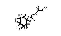 O=C(CCl)OCC(=O)OC1(F)C(F)(F)C(F)(F)C(F)(F)C(F)(F)C1(F)F